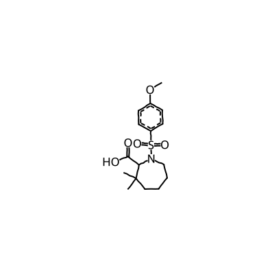 COc1ccc(S(=O)(=O)N2CCCCC(C)(C)C2C(=O)O)cc1